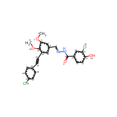 COc1cc(/C=N/NC(=O)c2ccc(O)c(Cl)c2)cc(C#Cc2ccc(Cl)cc2)c1OC